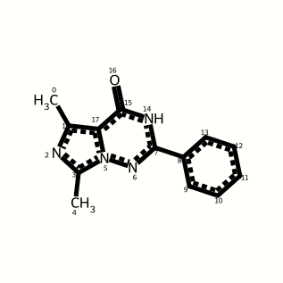 Cc1nc(C)n2nc(-c3ccccc3)[nH]c(=O)c12